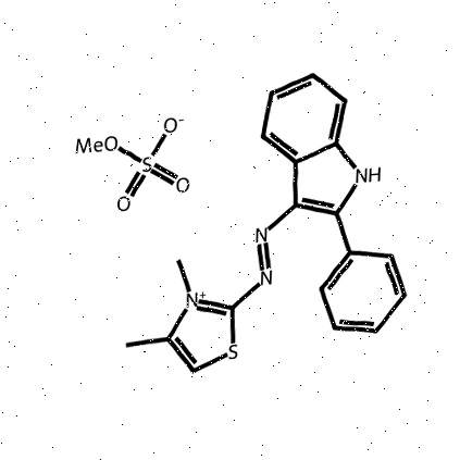 COS(=O)(=O)[O-].Cc1csc(N=Nc2c(-c3ccccc3)[nH]c3ccccc23)[n+]1C